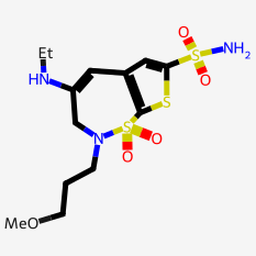 CCNC1=Cc2cc(S(N)(=O)=O)sc2S(=O)(=O)N(CCCOC)C1